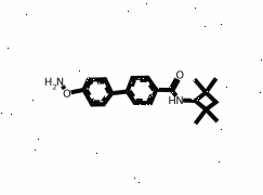 CC1(C)CC(C)(C)C1NC(=O)c1ccc(-c2ccc(ON)cc2)cc1